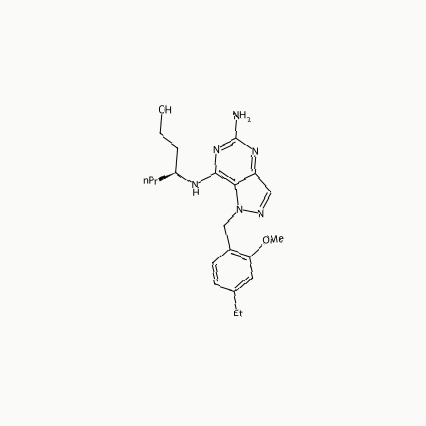 CCC[C@@H](CCO)Nc1nc(N)nc2cnn(Cc3ccc(CC)cc3OC)c12